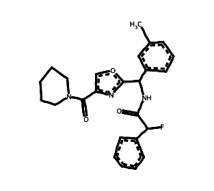 Cc1cccc(C(NC(=O)C(F)c2ccccc2)c2nc(C(=O)N3CCCCC3)co2)c1